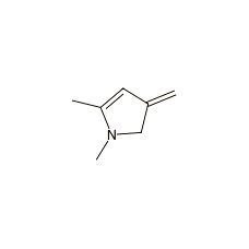 C=C1C=C(C)N(C)C1